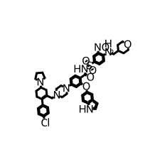 O=C(NS(=O)(=O)c1ccc(NCC2CCOCC2)c([N+](=O)[O-])c1)c1ccc(N2CCN(CC3=C(c4ccc(Cl)cc4)CCC(N4CCCC4)C3)CC2)cc1Oc1ccc2[nH]ccc2c1